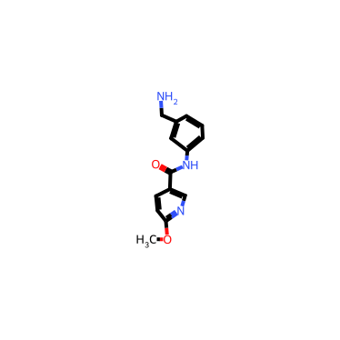 COc1ccc(C(=O)Nc2cccc(CN)c2)cn1